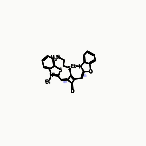 CCN1/C(=C\C2=C(SCCN)C(=C\c3sc4ccccc4[n+]3CC)/C2=O)Oc2ccccc21